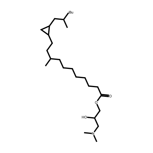 CCC(C)C(C)CC1CC1CCC(C)CCCCCCCC(=O)OCC(O)CN(C)C